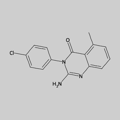 Cc1cccc2nc(N)n(-c3ccc(Cl)cc3)c(=O)c12